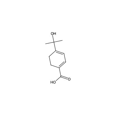 CC(C)(O)C1=CC=C(C(=O)O)CC1